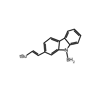 Bn1c2ccccc2c2ccc(/C=C/C(C)(C)C)cc21